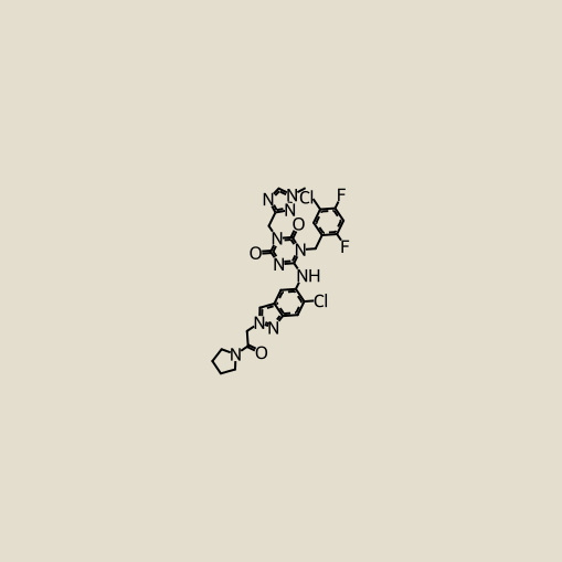 Cn1cnc(Cn2c(=O)nc(Nc3cc4cn(CC(=O)N5CCCC5)nc4cc3Cl)n(Cc3cc(Cl)c(F)cc3F)c2=O)n1